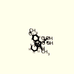 COc1ccc2c(c1)[C@]13CCCC[C@@H]1[C@H](C2)N(C)CC3.O=P(O)(O)O